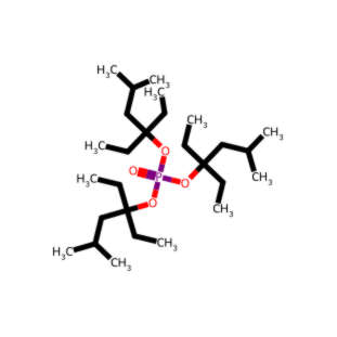 CCC(CC)(CC(C)C)OP(=O)(OC(CC)(CC)CC(C)C)OC(CC)(CC)CC(C)C